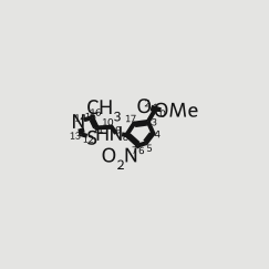 COC(=O)c1ccc([N+](=O)[O-])c(NCc2scnc2C)c1